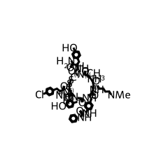 CNCCCCC[C@@H]1NC(=O)[C@@H](Cc2ccc(NC(=O)Nc3ccccc3)cc2)NC(=O)[C@H](Cc2ccc(O)cc2)NC(=O)[C@H](NC(=O)[C@@H](N)Cc2ccc(Cl)cc2)CSSC[C@@H](C(=O)NC(Cc2ccc(O)cc2)C(N)=O)NC(=O)[C@H](C)NC1=O